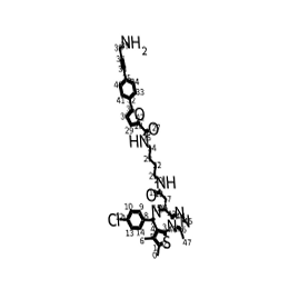 Cc1sc2c(c1C)C(c1ccc(Cl)cc1)=N[C@@H](CC(=O)NCCCCNC(=O)c1ccc(-c3ccc(C#CCN)cc3)o1)c1nnc(C)n1-2